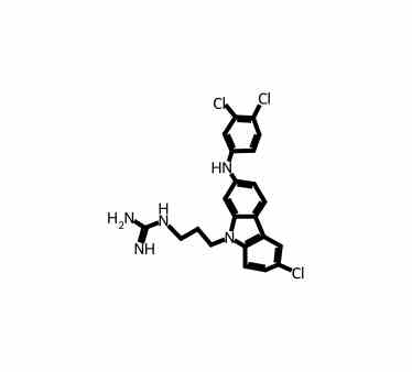 N=C(N)NCCCn1c2ccc(Cl)cc2c2ccc(Nc3ccc(Cl)c(Cl)c3)cc21